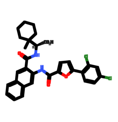 CC1([C@H](NC(=O)c2cc3ccccc3cc2NC(=O)c2ccc(-c3ccc(Cl)cc3Cl)o2)C(=O)O)CCCCC1